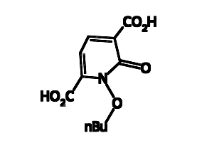 CCCCOn1c(C(=O)O)ccc(C(=O)O)c1=O